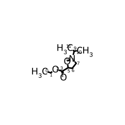 CCOC(=O)C1CCN(C(C)C)O1